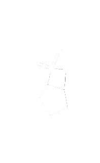 O=S1(=O)OC2CCCC21